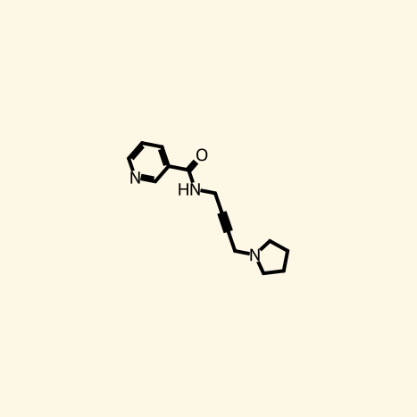 O=C(NCC#CCN1CCCC1)c1cccnc1